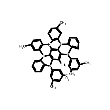 Cc1cc(C)cc(N2c3ccccc3B3c4cc(C)ccc4N4c5ccc(C)cc5B5c6ccccc6N(c6cc(C)cc(C)c6)c6c(C)c2c3c4c65)c1